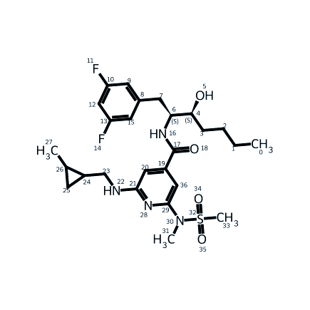 CCCC[C@H](O)[C@H](Cc1cc(F)cc(F)c1)NC(=O)c1cc(NCC2CC2C)nc(N(C)S(C)(=O)=O)c1